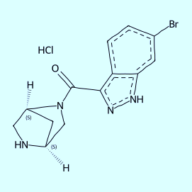 Cl.O=C(c1n[nH]c2cc(Br)ccc12)N1C[C@@H]2C[C@H]1CN2